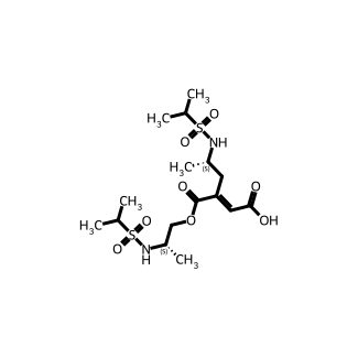 CC(C)S(=O)(=O)N[C@@H](C)COC(=O)C(=CC(=O)O)C[C@H](C)NS(=O)(=O)C(C)C